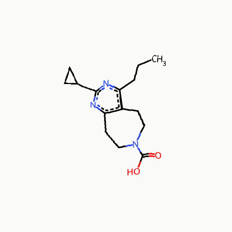 CCCc1nc(C2CC2)nc2c1CCN(C(=O)O)CC2